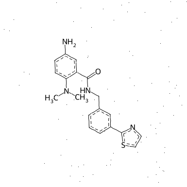 CN(C)c1ccc(N)cc1C(=O)NCc1cccc(-c2nccs2)c1